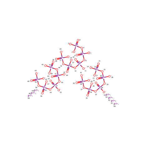 O=P([O-])([O-])OP(=O)([O-])OP(=O)([O-])OP(=O)([O-])OP(=O)([O-])[O-].O=P([O-])([O-])OP(=O)([O-])OP(=O)([O-])OP(=O)([O-])OP(=O)([O-])[O-].O=P([O-])([O-])OP(=O)([O-])OP(=O)([O-])OP(=O)([O-])OP(=O)([O-])[O-].[P+3].[P+3].[P+3].[P+3].[P+3].[P+3].[P+3]